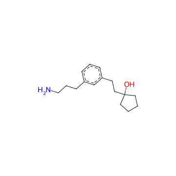 NCCCc1cccc(CCC2(O)CCCC2)c1